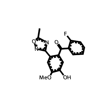 COc1cc(-c2noc(C)n2)c(C(=O)c2ccccc2F)cc1O